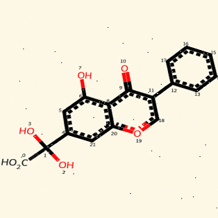 O=C(O)C(O)(O)c1cc(O)c2c(=O)c(-c3ccccc3)coc2c1